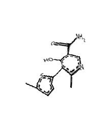 Cc1ccc(-c2c(C)ncc(C(N)=O)c2O)s1